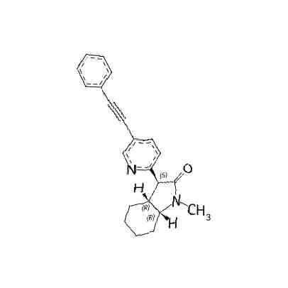 CN1C(=O)[C@H](c2ccc(C#Cc3ccccc3)cn2)[C@H]2CCCC[C@H]21